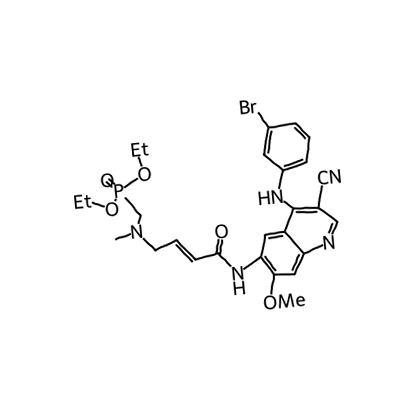 CCOP(=O)(CN(C)CC=CC(=O)Nc1cc2c(Nc3cccc(Br)c3)c(C#N)cnc2cc1OC)OCC